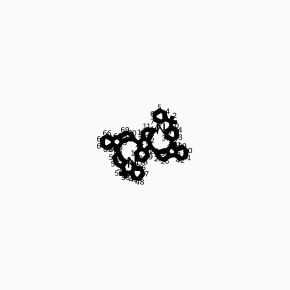 CC1(C)c2ccccc2N2c3ccc4c5c6cc(ccc6c(c4c3)-c3ccc4c(c3)C(C)(c3ccc1c2c3)c1ccccc1-4)N1c2ccccc2C(C)(C)c2ccc(cc21)C1(C)c2ccccc2-c2ccc-5cc21